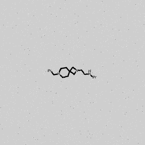 CC(C)CN1CCC2(CC1)CN(CCNC(C)C)C2